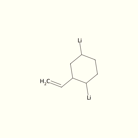 [Li][CH]1CC[CH]([Li])C(C=C)C1